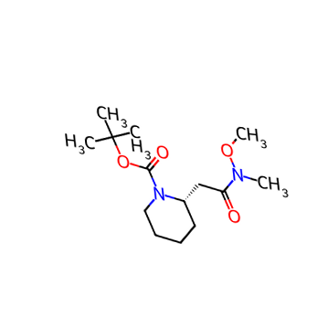 CON(C)C(=O)C[C@@H]1CCCCN1C(=O)OC(C)(C)C